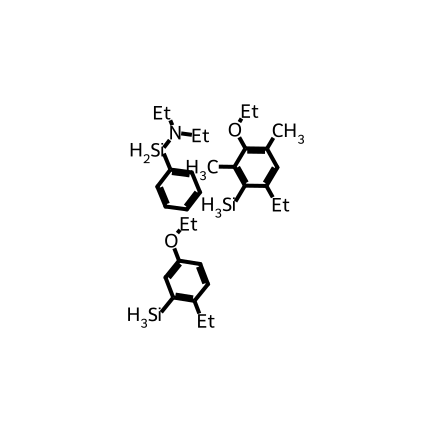 CCN(CC)[SiH2]c1ccccc1.CCOc1c(C)cc(CC)c([SiH3])c1C.CCOc1ccc(CC)c([SiH3])c1